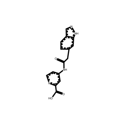 O=C(Cc1ccc2cn[nH]c2c1)Nc1ccnc(C(=O)O)c1